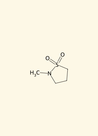 CN1CCCS1(=O)=O